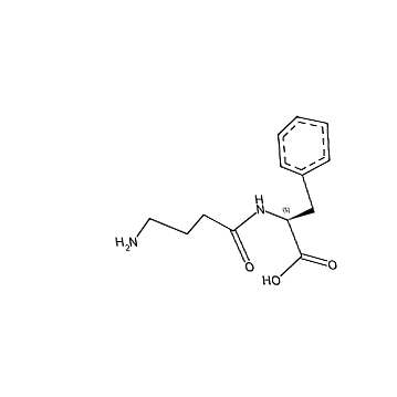 NCCCC(=O)N[C@@H](Cc1ccccc1)C(=O)O